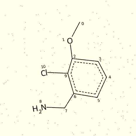 COc1[c]ccc(CN)c1Cl